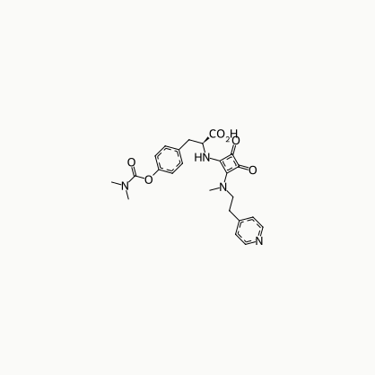 CN(C)C(=O)Oc1ccc(C[C@H](Nc2c(N(C)CCc3ccncc3)c(=O)c2=O)C(=O)O)cc1